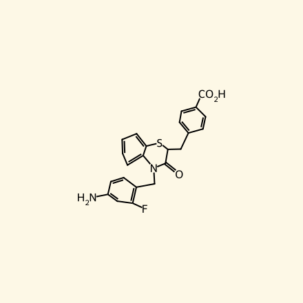 Nc1ccc(CN2C(=O)C(Cc3ccc(C(=O)O)cc3)Sc3ccccc32)c(F)c1